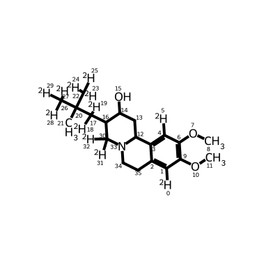 [2H]c1c2c(c([2H])c(OC)c1OC)C1CC(O)C(C([2H])([2H])C(C)(C([2H])([2H])[2H])C([2H])([2H])[2H])C([2H])([2H])N1CC2